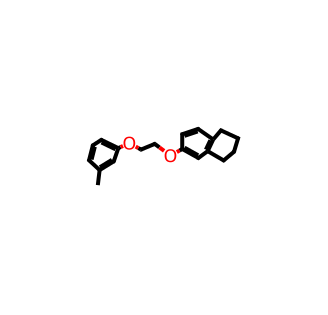 Cc1cccc(OCCOc2ccc3c(c2)CCCC3)c1